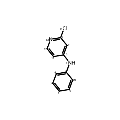 Clc1cc(Nc2ccccc2)ccn1